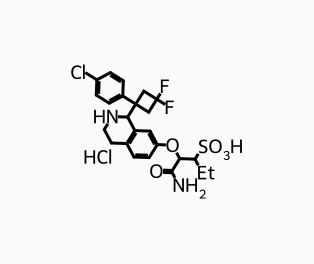 CCC(C(Oc1ccc2c(c1)C(C1(c3ccc(Cl)cc3)CC(F)(F)C1)NCC2)C(N)=O)S(=O)(=O)O.Cl